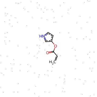 C=CC(=O)Oc1cc[nH]c1